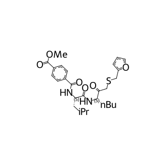 CCCC[C@H](NC(=O)[C@H](CC(C)C)NC(=O)c1ccc(C(=O)OC)cc1)C(=O)CSCc1ccco1